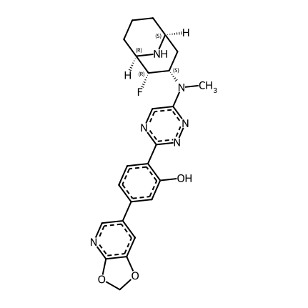 CN(c1cnc(-c2ccc(-c3cnc4c(c3)OCO4)cc2O)nn1)[C@H]1C[C@@H]2CCC[C@@H](N2)[C@H]1F